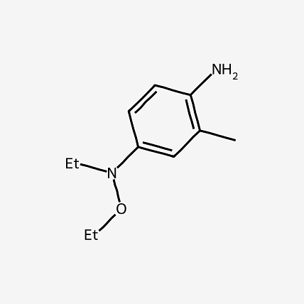 CCON(CC)c1ccc(N)c(C)c1